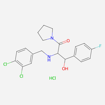 Cl.O=C(C(NCc1ccc(Cl)c(Cl)c1)C(O)c1ccc(F)cc1)N1CCCC1